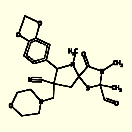 CN1C(=O)C2(CC(C#N)(CN3CCOCC3)C(c3ccc4c(c3)OCO4)N2C)SC1(C)C=O